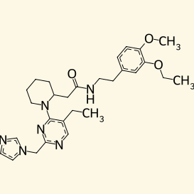 CCOc1cc(CCNC(=O)CC2CCCCN2c2nc(Cn3ccnc3)ncc2CC)ccc1OC